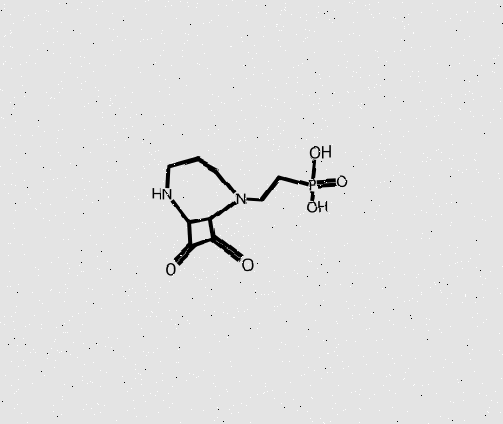 O=C1C(=O)C2C1NCCCN2CCP(=O)(O)O